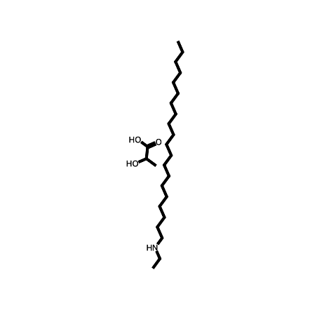 CC(O)C(=O)O.CCCCCCCCCCCCCCCCCCCCNCC